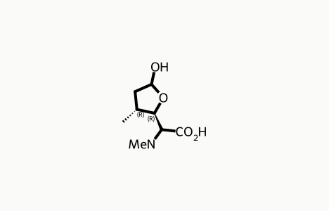 CNC(C(=O)O)[C@@H]1OC(O)C[C@H]1C